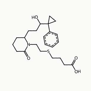 O=C(O)CCCSCCN1C(=O)CCCC1CCC(O)C1(c2ccccc2)CC1